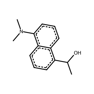 CC(O)c1cccc2c(N(C)C)cccc12